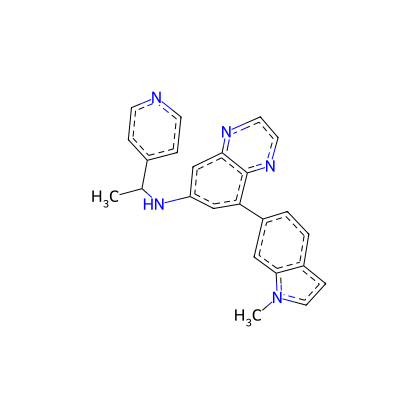 CC(Nc1cc(-c2ccc3ccn(C)c3c2)c2nccnc2c1)c1ccncc1